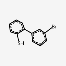 Sc1ccccc1-c1cccc(Br)c1